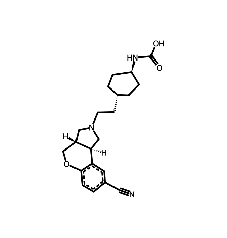 N#Cc1ccc2c(c1)[C@@H]1CN(CC[C@H]3CC[C@H](NC(=O)O)CC3)C[C@H]1CO2